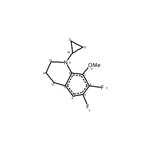 COc1c(F)c(F)cc2c1N(C1CC1)CCC2